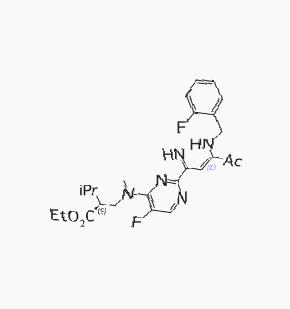 CCOC(=O)[C@H](CN(C)c1nc(C(=N)/C=C(\NCc2ccccc2F)C(C)=O)ncc1F)C(C)C